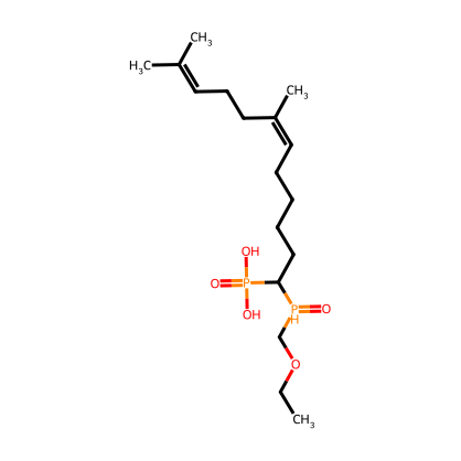 CCOC[PH](=O)C(CCCCC=C(C)CCC=C(C)C)P(=O)(O)O